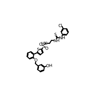 O=S(=O)(NCCNC(=S)Nc1cccc(Cl)c1)c1ccc(-c2ccccc2OCc2cccc(O)c2)s1